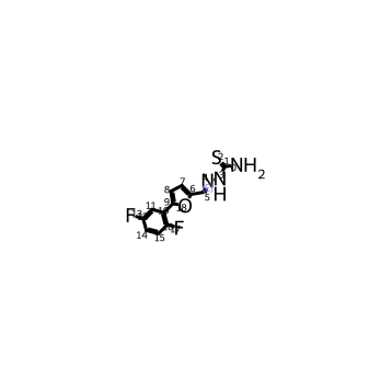 NC(=S)N/N=C/c1ccc(-c2cc(F)ccc2F)o1